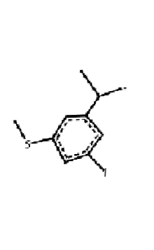 [CH2]C(C)c1cc(I)cc(SC)c1